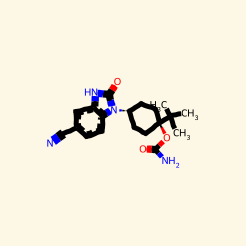 CC(C)(C)[C@]1(OC(N)=O)CC[C@H](n2c(=O)[nH]c3cc(C#N)ccc32)CC1